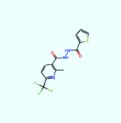 Cc1nc(C(F)(F)F)ccc1C(=O)NNC(=O)c1cccs1